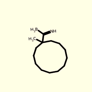 BC(=N)C1(C)CCCCCCCCCCC1